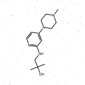 CN1CCN(c2ccnc(NCC(C)(C)O)c2)CC1